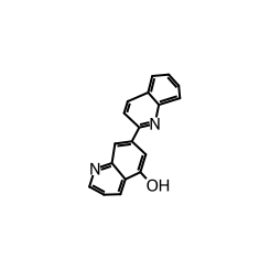 Oc1cc(-c2ccc3ccccc3n2)cc2ncccc12